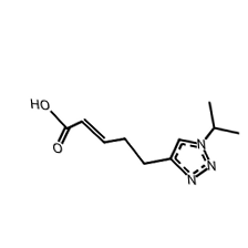 CC(C)n1cc(CCC=CC(=O)O)nn1